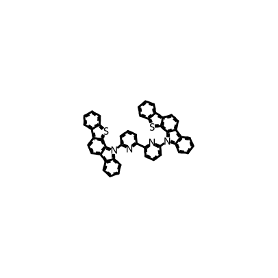 c1cc(-c2cccc(-n3c4ccccc4c4ccc5c6ccccc6sc5c43)n2)nc(-n2c3ccccc3c3ccc4c5ccccc5sc4c32)c1